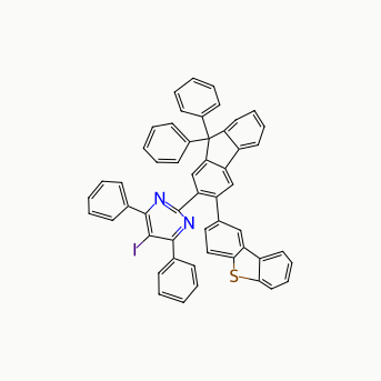 Ic1c(-c2ccccc2)nc(-c2cc3c(cc2-c2ccc4sc5ccccc5c4c2)-c2ccccc2C3(c2ccccc2)c2ccccc2)nc1-c1ccccc1